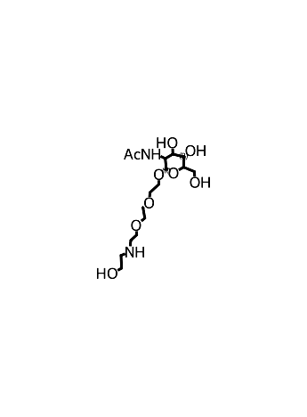 CC(=O)NC1C(O)[C@@H](O)C(CO)O[C@H]1OCCOCCOCCNCCO